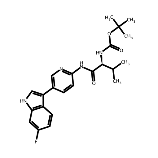 CC(C)[C@H](NC(=O)OC(C)(C)C)C(=O)Nc1ccc(-c2c[nH]c3cc(F)ccc23)cn1